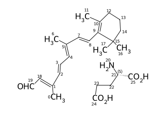 CC(C=CC=C(C)C=CC1=C(C)CCCC1(C)C)=CC=O.N[C@@H](CCC(=O)O)C(=O)O